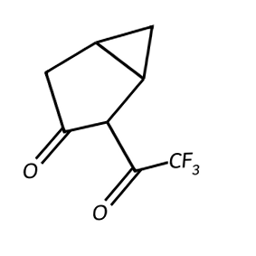 O=C1CC2CC2C1C(=O)C(F)(F)F